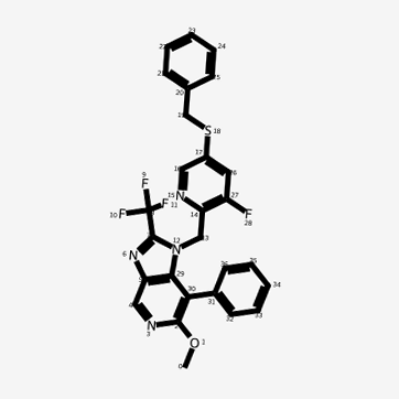 COc1ncc2nc(C(F)(F)F)n(Cc3ncc(SCc4ccccc4)cc3F)c2c1-c1ccccc1